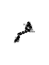 COc1cc(N2CCC(N3CCC(N4CCC5(CCCN(c6ccc7c(c6)C(=O)N(C6CCC(=O)NC6=O)C7=O)C5)CC4)CC3)CC2)c(-c2cnn(C)c2)cc1Nc1ncc(Cl)c(Nc2ccc3nccnc3c2P(C)(C)=O)n1